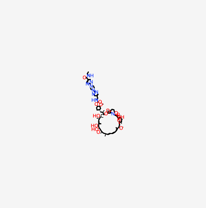 CCNC(=O)c1cnc(N2CCN(c3ncc(CNC(=O)O[C@@H]4CC[C@@H](C[C@@H](C)[C@@H]5C[C@@H](O)[C@H](C)/C=C(\C)[C@@H](O)[C@@H](O)C(=O)[C@H](C)C[C@H](C)/C=C/C=C/C=C(\C)[C@@H](OC)C[C@@H]6CC[C@@H](C)[C@@](O)(O6)C(=O)C(=O)N6CCCC[C@H]6C(=O)O5)C[C@H]4OC)cn3)CC2)nc1